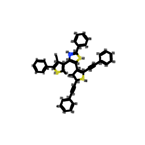 Cc1sc(-c2ccccc2)c(C)c1-c1nc(-c2ccccc2)sc1C1=C(C#Cc2ccccc2)SC(C#Cc2ccccc2)C1C